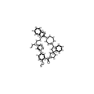 CCOCCn1c(N2CCCN(CCC3(c4ccccc4)CCN(C(=O)c4cc(-n5cnnn5)ccc4OC)C3)CC2)nc2ccccc21